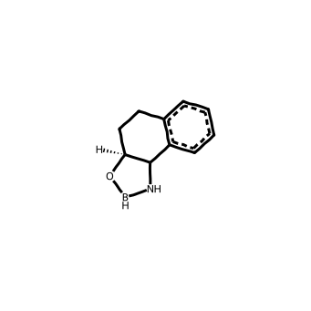 B1NC2c3ccccc3CC[C@@H]2O1